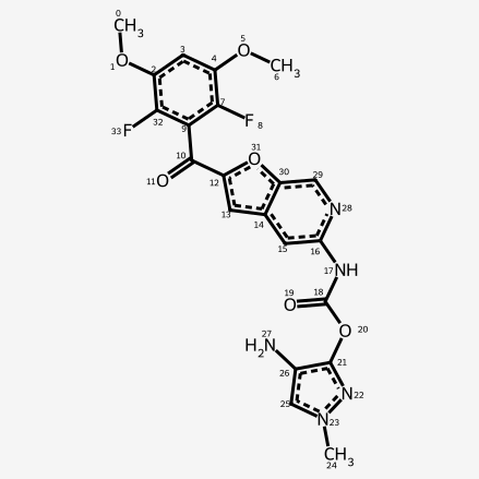 COc1cc(OC)c(F)c(C(=O)c2cc3cc(NC(=O)Oc4nn(C)cc4N)ncc3o2)c1F